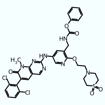 Cn1c(=O)c(-c2c(Cl)cccc2Cl)cc2cnc(Nc3cnc(OCCN4CCS(=O)(=O)CC4)c(CNC(=O)Oc4ccccc4)c3)nc21